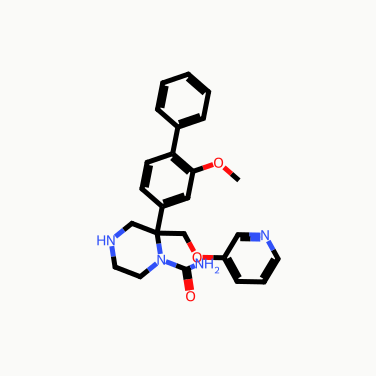 COc1cc(C2(COc3cccnc3)CNCCN2C(N)=O)ccc1-c1ccccc1